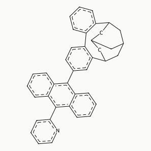 c1ccc(-c2c3ccccc3c(-c3ccc4c(c3)C3CC5CC(CC(C5)c5ccccc5-4)C3)c3ccccc23)nc1